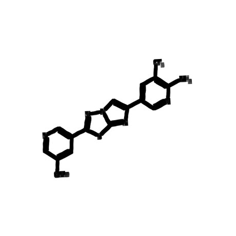 COc1cncc(-c2nn3cc(-c4cnc(N)c(C(F)(F)F)c4)nc3s2)c1